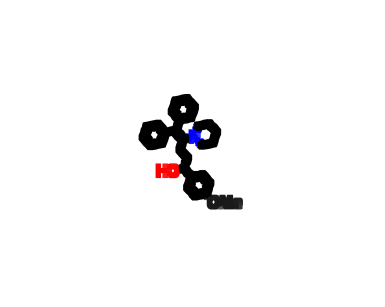 COc1ccc(C(O)CCC(=C(c2ccccc2)c2ccccc2)N2CCCCC2)cc1